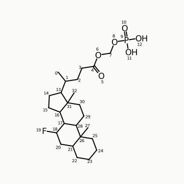 CC(CCC(=O)OCOP(=O)(O)O)C1CCC2C3C(F)CC4CCCCC4(C)C3CCC12C